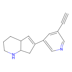 C#Cc1cncc(C2=CC3CCCNC3C2)c1